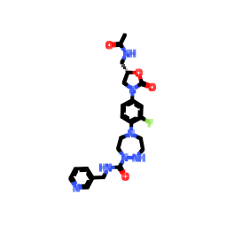 CC(=O)NC[C@H]1CN(c2ccc(N3CCNN(C(=O)NCc4cccnc4)CC3)c(F)c2)C(=O)O1